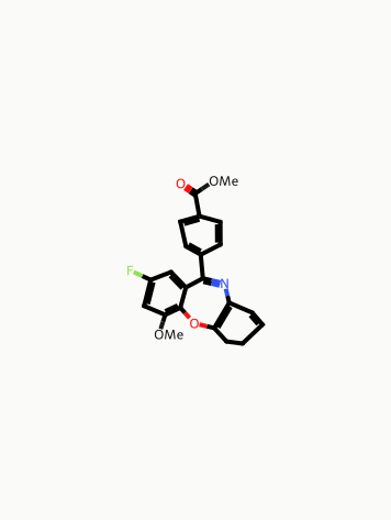 COC(=O)c1ccc(C2=NC3=C(CCC=C3)Oc3c(OC)cc(F)cc32)cc1